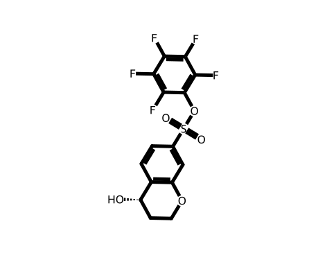 O=S(=O)(Oc1c(F)c(F)c(F)c(F)c1F)c1ccc2c(c1)OCC[C@@H]2O